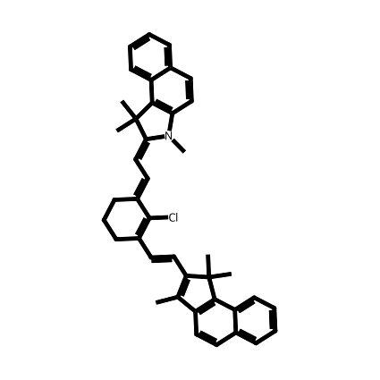 CC1=C(/C=C/C2=C(Cl)C(=C/C=C3\N(C)c4ccc5ccccc5c4C3(C)C)/CCC2)C(C)(C)c2c1ccc1ccccc21